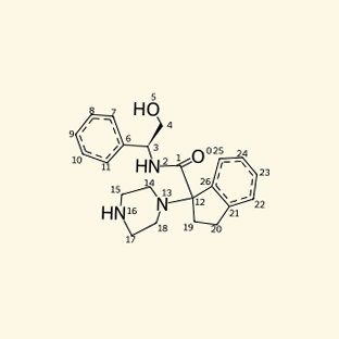 O=C(N[C@H](CO)c1ccccc1)C1(N2CCNCC2)CCc2ccccc21